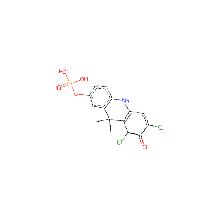 CC1(C)C2=C(C=C(Cl)C(=O)C2Cl)Nc2ccc(OP(=O)(O)O)cc21